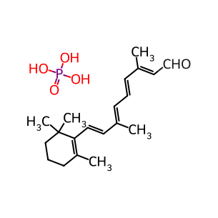 CC(C=CC=C(C)C=CC1=C(C)CCCC1(C)C)=CC=O.O=P(O)(O)O